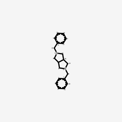 c1ccc(CN2CC3CN(Cc4ccccc4)CC3C2)cc1